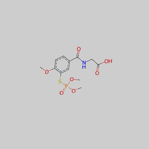 COc1ccc(C(=O)NCC(=O)O)cc1SP(=O)(OC)OC